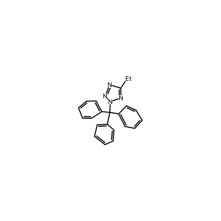 CCc1nnn(C(c2ccccc2)(c2ccccc2)c2ccccc2)n1